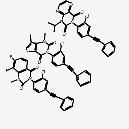 CC(C)n1c(=O)n(-c2ccc(C#Cc3ccccc3)cc2Cl)c(=O)c2nccnc21.Cc1csc2c(=O)n(-c3ccc(C#Cc4ccccc4)cc3Cl)c(=O)n(C)c12.Cn1c(=O)n(-c2ccc(C#Cc3ccccc3)cc2Cl)c(=O)c2ccc(F)c(F)c21